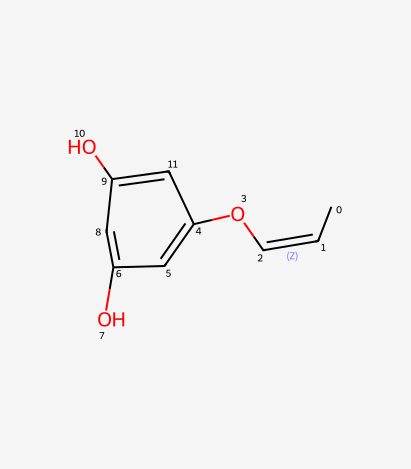 C/C=C\Oc1cc(O)cc(O)c1